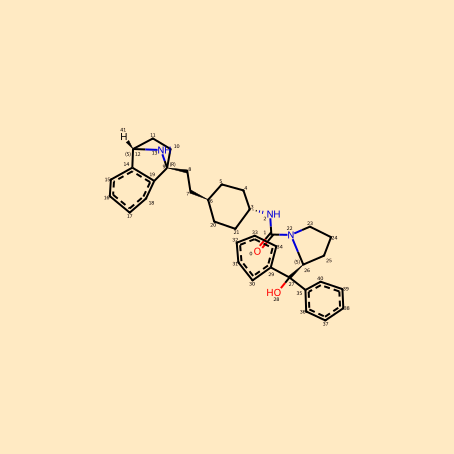 O=C(N[C@H]1CC[C@H](CC[C@]23CC[C@H](N2)c2ccccc23)CC1)N1CCC[C@H]1C(O)(c1ccccc1)c1ccccc1